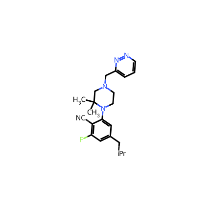 CC(C)Cc1cc(F)c(C#N)c(N2CCN(Cc3cccnn3)CC2(C)C)c1